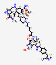 Cc1ncsc1-c1ccc(CNC(=O)[C@@H]2C[C@@H](O)CN2C(=O)[C@@H](NC(=O)CCCCCN2CCC(Cc3c(CS(C)(=O)=O)c(C(N)=O)cc4c3-c3cn(C)c(=O)c5[nH]cc(c35)CN4)CC2)C(C)(C)C)cc1